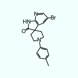 Cc1ccc(N2CCC3(CC2)C(=O)Nc2ncc(Br)cc23)cc1